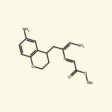 CC(C)(C)OC(=O)/C=N/C(=C\N)CC1CCOc2ccc(N)cc21